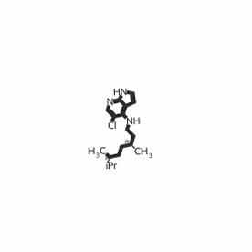 CC(C)[C@H](C)CC[C@@H](C)CCNc1c(Cl)cnc2[nH]ccc12